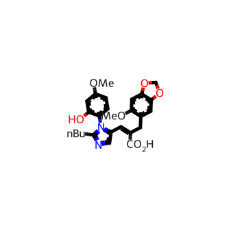 CCCCc1ncc(C=C(Cc2cc3c(cc2OC)OCO3)C(=O)O)n1-c1ccc(OC)cc1O